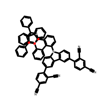 N#Cc1ccc(-c2ccc3c(c2)c2cc(-c4ccc(C#N)cc4C#N)ccc2n3-c2cccc(-c3nc(-c4ccccc4)cc(-c4ccccc4)n3)c2-c2ccccc2-n2c3ccccc3c3ccccc32)c(C#N)c1